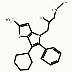 CC(C)NCC(O)Cn1c(-c2ccccc2)c(C2CCCCC2)c2sc(C(=O)O)cc21